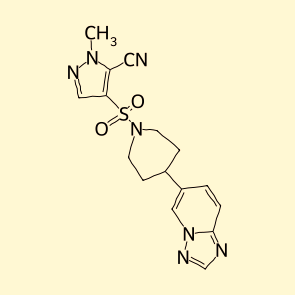 Cn1ncc(S(=O)(=O)N2CCC(c3ccc4ncnn4c3)CC2)c1C#N